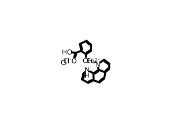 O=C(O)c1ccccc1O.[Cl-].[Cl-].[Cu+2][N]1C=CC=c2ccc3c(c21)NC=CC=3